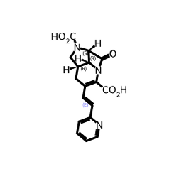 O=C(O)C1=C(/C=C/c2ccccn2)C[C@@H]2CN(C(=O)O)[C@@H]3C(=O)N1[C@H]23